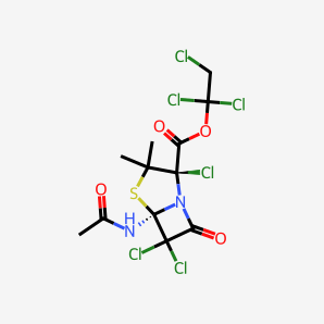 CC(=O)N[C@]12SC(C)(C)[C@](Cl)(C(=O)OC(Cl)(Cl)CCl)N1C(=O)C2(Cl)Cl